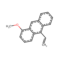 C=Cc1c2ccccc2cc2c(OC)cccc12